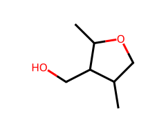 CC1COC(C)C1CO